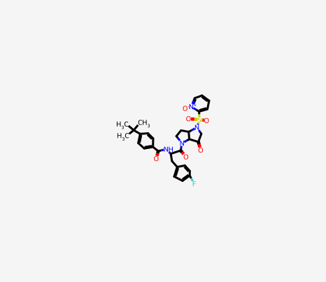 CC(C)(C)c1ccc(C(=O)NC(Cc2ccc(F)cc2)C(=O)N2CCC3C2C(=O)CN3S(=O)(=O)c2cccc[n+]2[O-])cc1